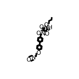 CCCCONC(=O)[C@](C)(C(=O)NC)N(C)C(=O)c1ccc(-c2ccc(OCCN3CCOCC3)cc2)cc1